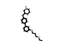 CCOCCCOc1cccc(-c2ccc(CC3CCCNC3)cc2)c1